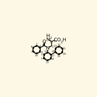 NC(CN(C(=O)c1ccccc1)c1ccccc1-c1ccccc1)C(=O)O